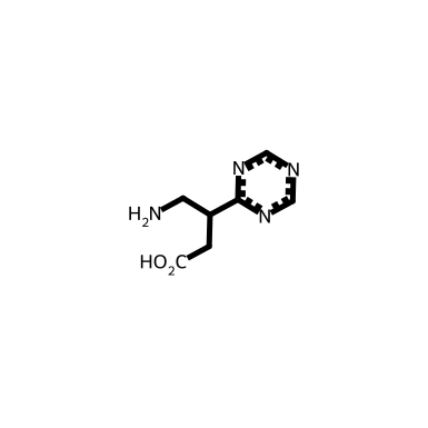 NCC(CC(=O)O)c1ncncn1